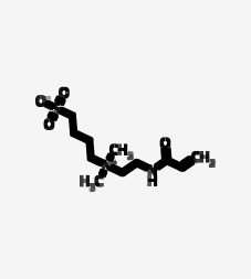 C=CC(=O)NCC[N+](C)(C)CCCCS(=O)(=O)[O-]